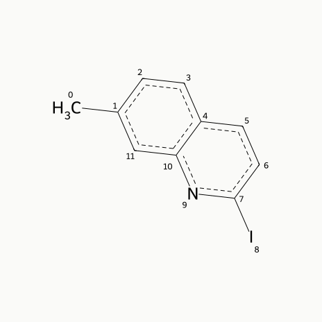 Cc1ccc2ccc(I)nc2c1